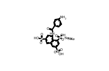 Nc1ccc(C(=O)Nc2cc(S(=O)(=O)O)cc3cc(S(=O)(=O)O)cc(S(=O)(=O)O)c23)cc1.[Na].[Na].[Na]